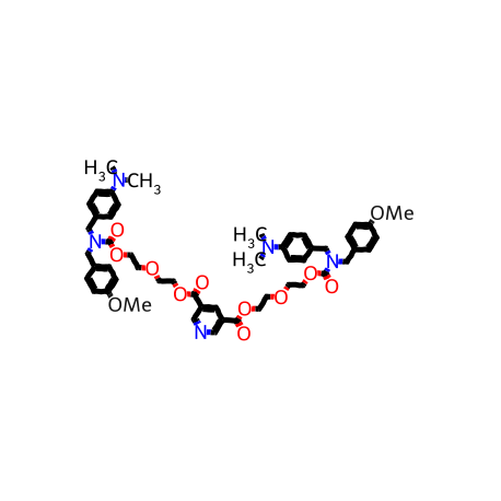 COc1ccc(CN(Cc2ccc(N(C)C)cc2)C(=O)OCCOCCOC(=O)c2cncc(C(=O)OCCOCCOC(=O)N(Cc3ccc(OC)cc3)Cc3ccc(N(C)C)cc3)c2)cc1